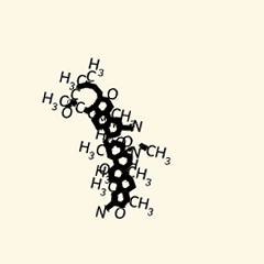 CCNC(=O)[C@]12CCC(C)(C[C@@H]3C(=O)C(C#N)=C[C@]4(C)C5=CC(=O)C6CCC(C)(C)CC[C@H](C(C)=O)CC[C@@]6(C)[C@]5(C)CC[C@@H]34)CC1C1C(=O)C=C3[C@@]4(C)C=C(C#N)C(=O)C(C)=C4CC[C@@]3(C)[C@]1(C)CC2